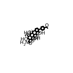 CC(=O)c1ccc(-c2ccc3c(c2O)C(=O)C2=C(O)[C@@]4(O)C(=O)C(C(N)=O)=C(O)[C@H](N(C)C)[C@H]4[C@H](O)[C@H]2[C@@H]3C)cc1